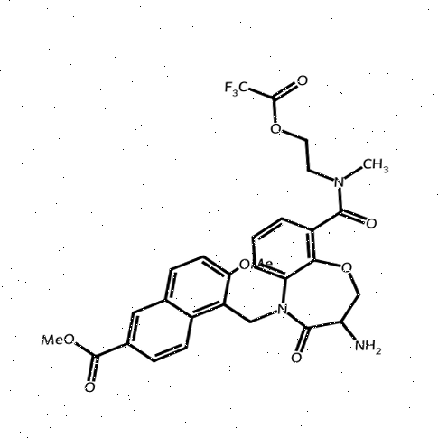 COC(=O)c1ccc2c(CN3C(=O)C(N)COc4c(C(=O)N(C)CCOC(=O)C(F)(F)F)cccc43)c(OC)ccc2c1